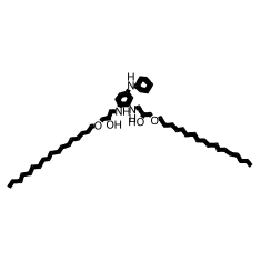 CCCCCCCCCCCCCCCCCCOCC(O)CNc1ccc(Nc2ccccc2)cc1NCC(O)COCCCCCCCCCCCCCCCCCC